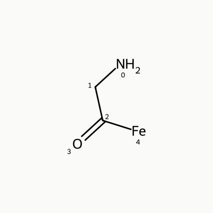 NC[C](=O)[Fe]